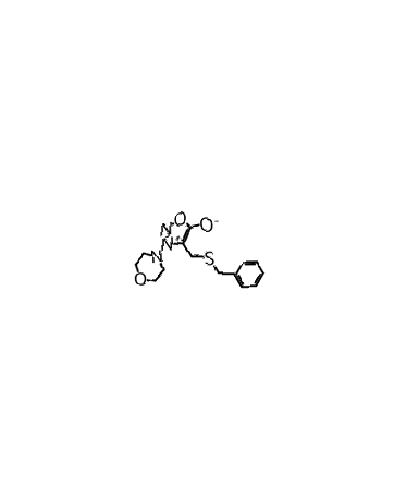 [O-]c1on[n+](N2CCOCC2)c1CSCc1ccccc1